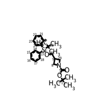 CC(C)(C)OC(=O)N1CC(CO[Si](c2ccccc2)(c2ccccc2)C(C)(C)C)C1